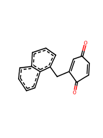 O=C1C=CC(=O)C(Cc2cccc3ccccc23)=C1